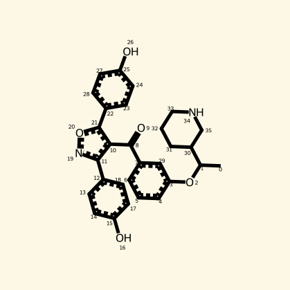 CC(Oc1cccc(C(=O)c2c(-c3ccc(O)cc3)noc2-c2ccc(O)cc2)c1)C1CCCNC1